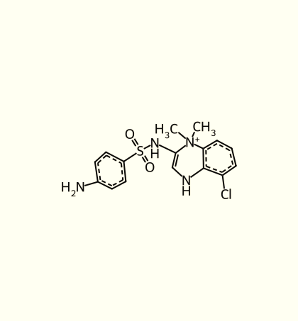 C[N+]1(C)C(NS(=O)(=O)c2ccc(N)cc2)=CNc2c(Cl)cccc21